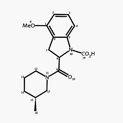 COc1cccc2c1CC(C(=O)N1CCC[C@H](C)C1)N2C(=O)O